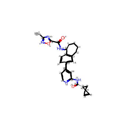 CC(C)(C)c1noc(C(=O)NC2CCCCc3cc(-c4ccnc(NC(=O)[C@@H]5CC56CC6)c4)ccc32)n1